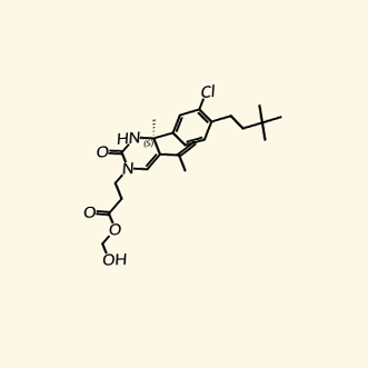 C=C(C)C1=CN(CCC(=O)OCO)C(=O)N[C@@]1(C)c1ccc(CCC(C)(C)C)c(Cl)c1